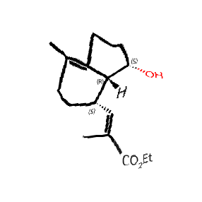 CCOC(=O)C(C)=C[C@@H]1CCC(C)=C2CC[C@H](O)[C@@H]21